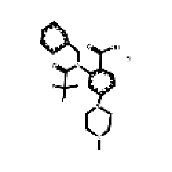 CN1CCN(c2ccc(C(=O)O)c(N(Cc3ccccc3)C(=O)C(F)(F)F)c2)CC1.Cl